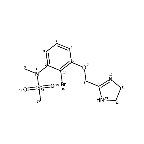 CN(c1cccc(OCC2=NCCN2)c1Br)S(C)(=O)=O